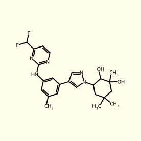 Cc1cc(Nc2nccc(C(F)F)n2)cc(-c2cnn(C3CC(C)(C)CC(C)(O)C3O)c2)c1